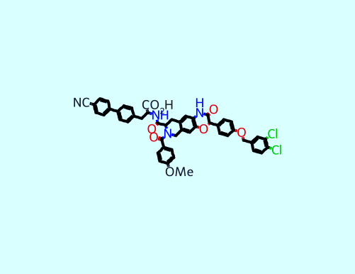 COc1ccc(C(=O)N2Cc3cc4c(cc3CC2C(=O)NC(Cc2ccc(-c3ccc(C#N)cc3)cc2)C(=O)O)NC(=O)C(c2ccc(OCc3ccc(Cl)c(Cl)c3)cc2)O4)cc1